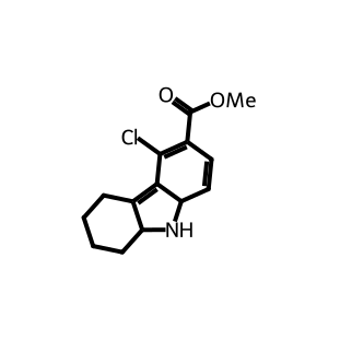 COC(=O)C1=C(Cl)C2=C3CCCCC3NC2C=C1